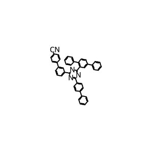 N#Cc1ccc(-c2cccc(-c3nc(-c4ccc(-c5ccccc5)cc4)nc(-c4cc(-c5ccccc5)ccc4-c4ccccc4)n3)c2)cc1